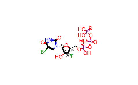 O=c1[nH]c(=O)n([C@@H]2O[C@H](COP(=O)(O)OP(=O)(O)OP(=O)(O)O)[C@@H](F)[C@H]2O)cc1Br